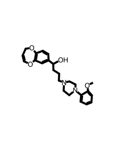 COc1ccccc1N1CCN(CCCC(O)c2ccc3c(c2)OC=CCO3)CC1